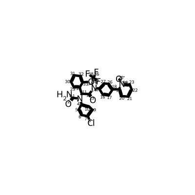 NC(=O)N(c1ccc(Cl)cc1)C(C(=O)Nc1ccc(-c2cccc[n+]2[O-])cc1)c1ccccc1OC(F)(F)F